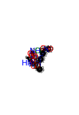 CC(C)CC1(CNS(=O)(=O)OC(N)=O)NN=C(C(c2nc3ccc(-c4ccc(C(=O)N5CCOCC5)c(Cl)c4)cc3s2)S(=O)(=O)Cc2ccccc2)O1